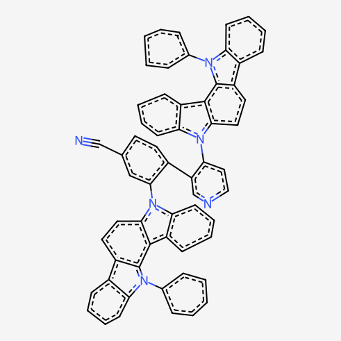 N#Cc1ccc(-c2cnccc2-n2c3ccccc3c3c2ccc2c4ccccc4n(-c4ccccc4)c23)c(-n2c3ccccc3c3c2ccc2c4ccccc4n(-c4ccccc4)c23)c1